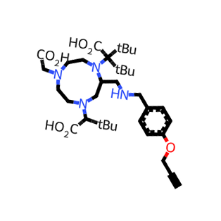 C#CCOc1ccc(CNCC2CN(C(C(=O)O)C(C)(C)C)CCN(CC(=O)O)CCN2C(C(=O)O)(C(C)(C)C)C(C)(C)C)cc1